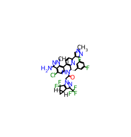 Cn1cc(-c2ccc(-c3ccc(Cl)c4c(N)nn(C)c34)c([C@H](Cc3cc(F)cc(F)c3)NC(=O)Cn3nc(C(F)(F)F)c4c3C(F)(F)[C@@H]3C[C@H]43)n2)cn1